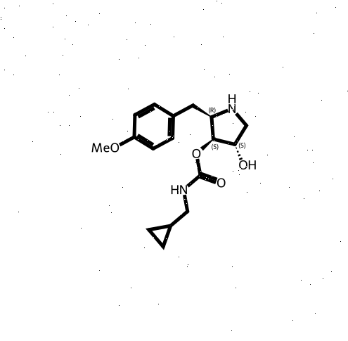 COc1ccc(C[C@H]2NC[C@H](O)[C@H]2OC(=O)NCC2CC2)cc1